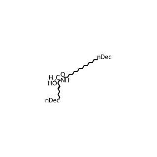 CCCCCCCCCCCCC/C=C/[C@@H](O)[C@H](C)NC(=O)CCCCCCCCCCCCCCCCCCCCCCC